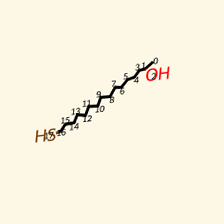 CC(O)CCCCCCCCCCCCCCS